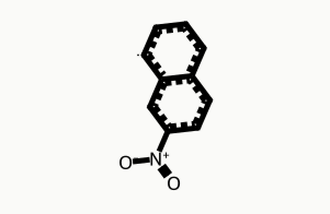 O=[N+]([O-])c1ccc2ccc[c]c2c1